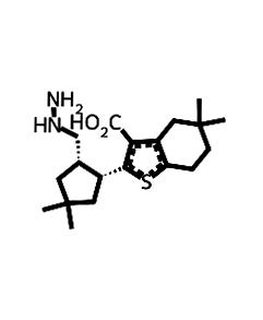 CC1(C)CCc2sc([C@@H]3CC(C)(C)C[C@@H]3CNN)c(C(=O)O)c2C1